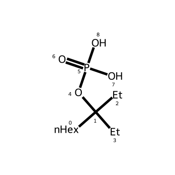 CCCCCCC(CC)(CC)OP(=O)(O)O